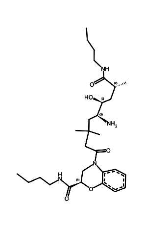 CCCCNC(=O)[C@H](C)C[C@H](O)[C@@H](N)CC(C)(C)CC(=O)N1C[C@H](C(=O)NCCCC)Oc2ccccc21